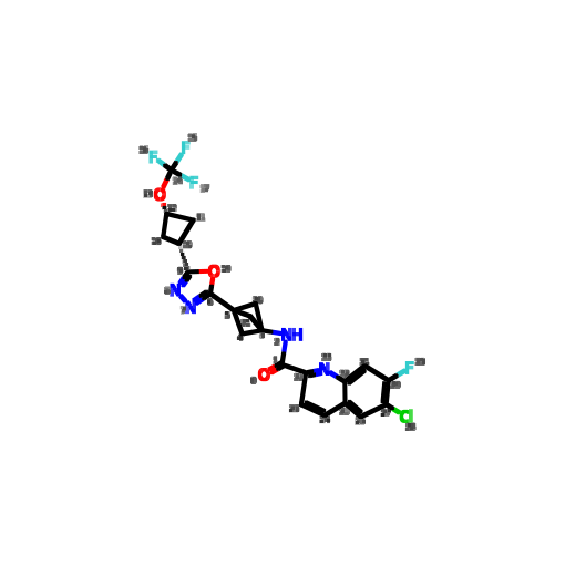 O=C(NC12CC(c3nnc([C@H]4C[C@@H](OC(F)(F)F)C4)o3)(C1)C2)c1ccc2cc(Cl)c(F)cc2n1